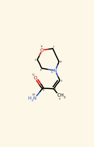 CC(=CN1CCOCC1)C(N)=O